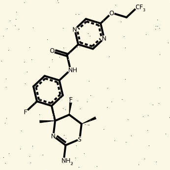 C[C@H]1SC(N)=N[C@](C)(c2cc(NC(=O)c3cnc(OCC(F)(F)F)cn3)ccc2F)[C@H]1F